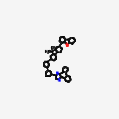 CC1(C)c2cc(-c3cccc(-c4cccc(-c5cnc6c7ccccc7c7ccccc7c6n5)c4)c3)ccc2-c2ccc(-c3cccc4c3oc3ccccc34)cc21